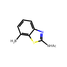 Bc1cccc2nc(NC(C)=O)sc12